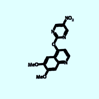 COc1cc2nccc(Oc3ncc([N+](=O)[O-])cn3)c2cc1OC